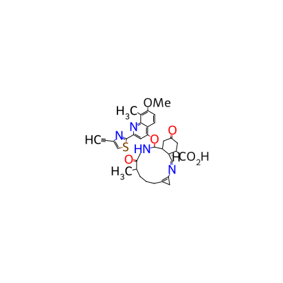 C#Cc1csc(-c2cc(O[C@@H]3NCC(=O)C(C)CCCC4=C(C4)/N=C\[C@H]4C3CC(=O)C[C@H]4C(=O)O)c3ccc(OC)c(C)c3n2)n1